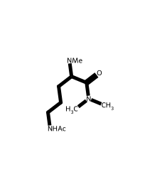 CNC(CCCNC(C)=O)C(=O)N(C)C